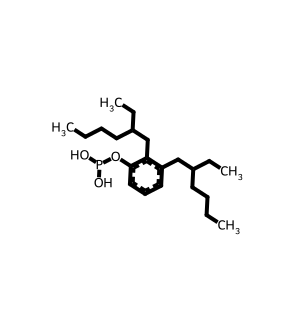 CCCCC(CC)Cc1cccc(OP(O)O)c1CC(CC)CCCC